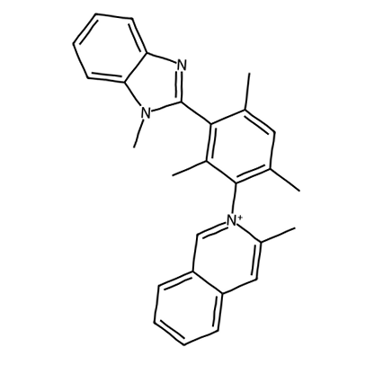 Cc1cc(C)c(-[n+]2cc3ccccc3cc2C)c(C)c1-c1nc2ccccc2n1C